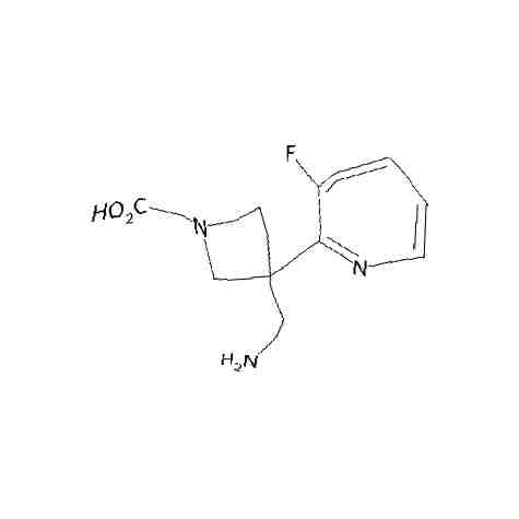 NCC1(c2ncccc2F)CN(C(=O)O)C1